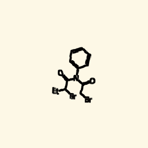 CCC(Br)C(=O)N(C(=O)CBr)c1ccccc1